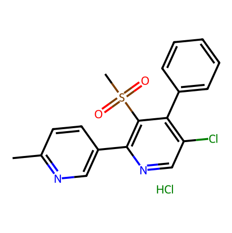 Cc1ccc(-c2ncc(Cl)c(-c3ccccc3)c2S(C)(=O)=O)cn1.Cl